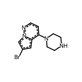 Brc1cc2c(N3CCNCC3)ccnn2c1